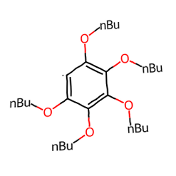 CCCCOc1[c]c(OCCCC)c(OCCCC)c(OCCCC)c1OCCCC